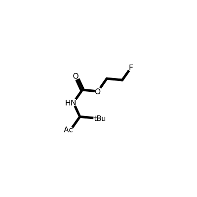 CC(=O)C(NC(=O)OCCF)C(C)(C)C